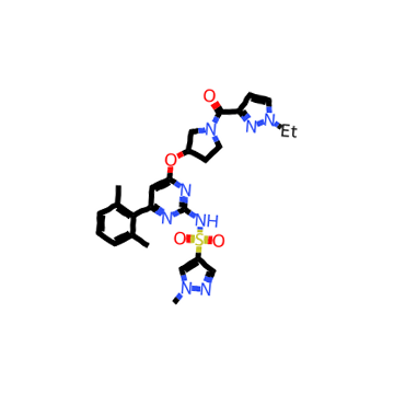 CCn1ccc(C(=O)N2CCC(Oc3cc(-c4c(C)cccc4C)nc(NS(=O)(=O)c4cnn(C)c4)n3)C2)n1